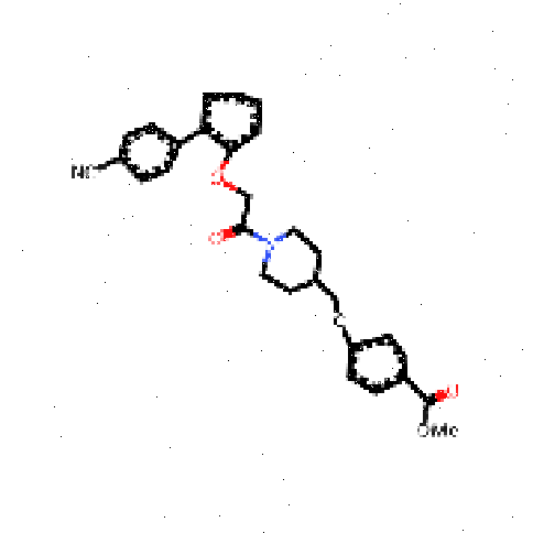 COC(=O)c1ccc(CCC2CCN(C(=O)COc3ccccc3-c3ccc(C#N)cc3)CC2)cc1